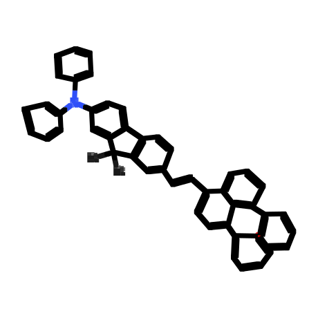 CCC1(CC)c2cc(/C=C/c3ccc(-c4ccccc4)c4c(-c5ccccc5)cccc34)ccc2-c2ccc(N(c3ccccc3)c3ccccc3)cc21